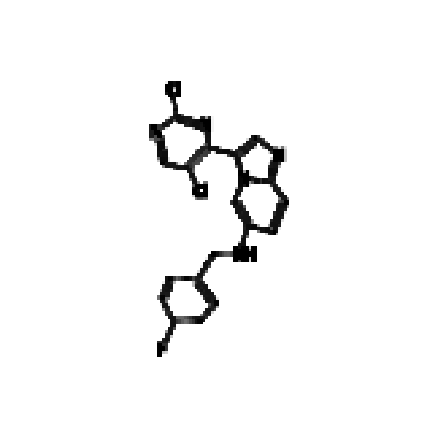 Fc1ccc(CNc2ccc3ncc(-c4nc(Cl)ncc4Cl)n3c2)cc1